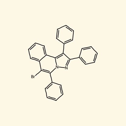 Brc1c(-c2ccccc2)n2nc(-c3ccccc3)c(-c3ccccc3)c2c2ccccc12